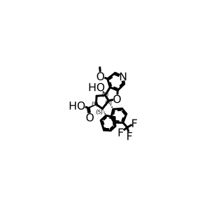 COc1cncc2c1[C@]1(O)C[C@H](C(=O)O)[C@@H](c3ccccc3)[C@]1(c1ccc(C(F)(F)F)cc1)O2